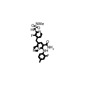 CNS(=O)(=O)Nc1nccc(Cc2cc(C(N)=O)c(Nc3ccc(C)cc3F)n3cncc23)c1F